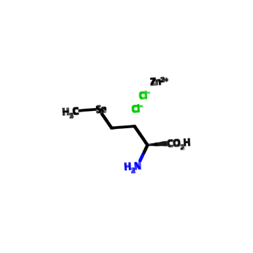 C[Se]CC[C@H](N)C(=O)O.[Cl-].[Cl-].[Zn+2]